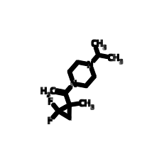 C=C(N1CCN(C(C)C)CC1)C1(C)CC1(F)F